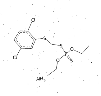 CCOP(=S)(OCC)SCSc1cc(Cl)ccc1Cl.[AlH3]